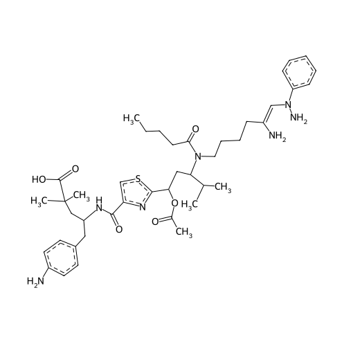 CCCCC(=O)N(CCCC/C(N)=C/N(N)c1ccccc1)C(CC(OC(C)=O)c1nc(C(=O)NC(Cc2ccc(N)cc2)CC(C)(C)C(=O)O)cs1)C(C)C